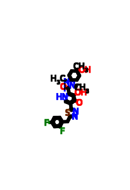 CNC1(N(C)C(=O)c2[nH]cc(-c3nnc(Cc4ccc(F)cc4F)s3)c(=O)c2O)CCC(C)(O)CC1